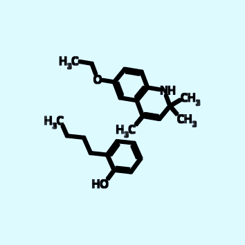 CCCCc1ccccc1O.CCOc1ccc2c(c1)C(C)=CC(C)(C)N2